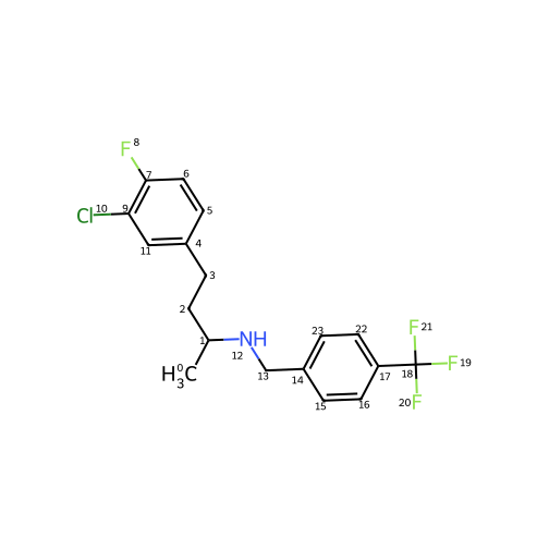 CC(CCc1ccc(F)c(Cl)c1)NCc1ccc(C(F)(F)F)cc1